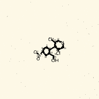 O=[N+]([O-])c1ccc(-c2c(Cl)cncc2Cl)c(CO)c1